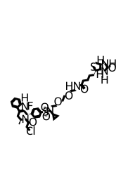 C[C@H]1Cc2c([nH]c3ccccc23)[C@H](c2ccc(S(=O)(=O)N(CCOCCOCCNC(=O)CCCC[C@@H]3SC[C@@H]4NC(=O)N[C@@H]43)C3CC3)cc2F)N1C(=O)CCl